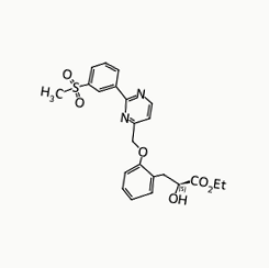 CCOC(=O)[C@@H](O)Cc1ccccc1OCc1ccnc(-c2cccc(S(C)(=O)=O)c2)n1